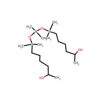 CC(O)CCCC[Si](C)(C)O[Si](C)(C)O[Si](C)(C)CCCCC(C)O